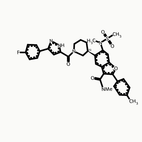 CNC(=O)c1c(-c2ccc(C)cc2)oc2cc(N(C)S(C)(=O)=O)c([C@@H]3CCCN(C(=O)c4cc(-c5ccc(F)cc5)n[nH]4)C3)cc12